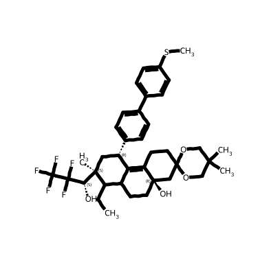 CCC1C2CC[C@@]3(O)CC4(CCC3=C2[C@@H](c2ccc(-c3ccc(SC)cc3)cc2)C[C@]1(C)[C@H](O)C(F)(F)C(F)(F)F)OCC(C)(C)CO4